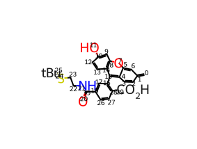 C=c1ccc2c(c1)Oc1cc(O)ccc1C=2c1cc(C(=O)NCCSC(C)(C)C)ccc1C(=O)O